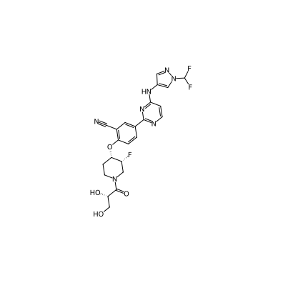 N#Cc1cc(-c2nccc(Nc3cnn(C(F)F)c3)n2)ccc1O[C@H]1CCN(C(=O)[C@@H](O)CO)C[C@H]1F